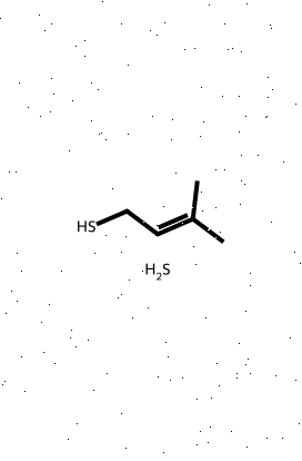 CC(C)=CCS.S